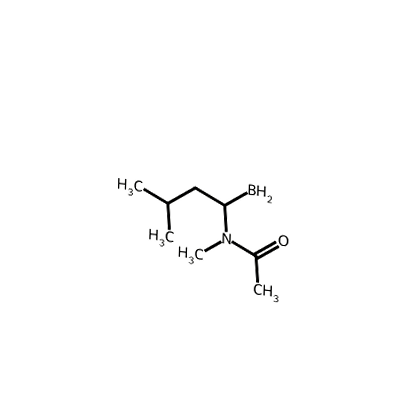 BC(CC(C)C)N(C)C(C)=O